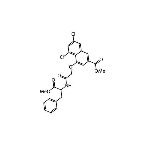 COC(=O)c1cc(OCC(=O)NC(Cc2ccccc2)C(=O)OC)c2c(Cl)cc(Cl)cc2c1